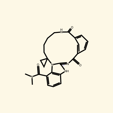 CN(C)C(=O)c1cccc2c1N1/C(=N/C(=O)c3cccc(c3)C(=O)NCCCCC13CC3)N2